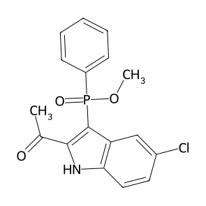 COP(=O)(c1ccccc1)c1c(C(C)=O)[nH]c2ccc(Cl)cc12